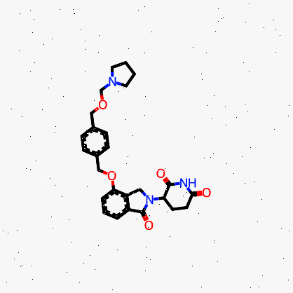 O=C1CCC(N2Cc3c(OCc4ccc(COCN5CCCC5)cc4)cccc3C2=O)C(=O)N1